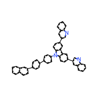 c1ccc2cc(-c3ccc(-c4ccc(-n5c6ccc(-c7cnc8ccccc8c7)cc6c6cc(-c7cnc8ccccc8c7)ccc65)cc4)cc3)ccc2c1